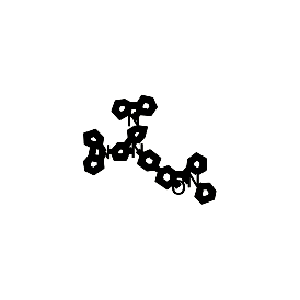 c1ccc(-n2c3ccccc3c3c4cc(-c5ccc(-n6c7ccc(-n8c9ccccc9c9ccccc98)cc7c7cc(-n8c9ccccc9c9ccccc98)ccc76)cc5)ccc4oc32)cc1